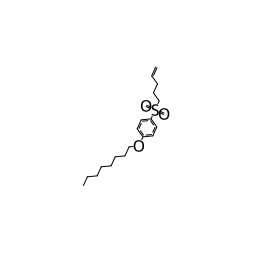 C=CCCCS(=O)(=O)c1ccc(OCCCCCCCC)cc1